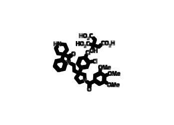 COc1cc(C(=O)N2CCC(CCNC(=O)C3(c4ccccc4)CCNCC3)(c3ccc(Cl)c(Cl)c3)C2)cc(OC)c1OC.O=C(O)CC(O)(CC(=O)O)C(=O)O